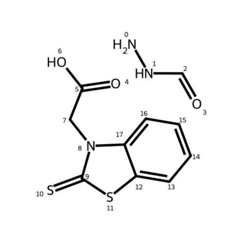 NNC=O.O=C(O)Cn1c(=S)sc2ccccc21